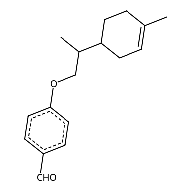 CC1=CCC(C(C)COc2ccc(C=O)cc2)CC1